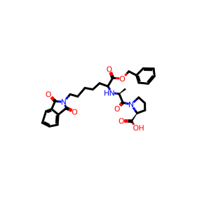 C[C@H](NC(CCCCCN1C(=O)c2ccccc2C1=O)C(=O)OCc1ccccc1)C(=O)N1CCC[C@H]1C(=O)O